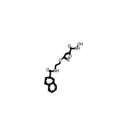 O=C(NCCOc1cc(C(=O)NO)on1)c1ccc2ccccc2c1